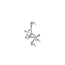 C=CC(C/C=C/OC)CCN(C)CCCC(C#N)(CC)C(/C=C/OC)C/C=C/OC